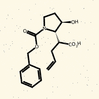 C=CCC(C(=O)O)[C@H]1[C@H](O)CCN1C(=O)OCc1ccccc1